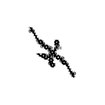 C=CC(=O)OCCCCCCOc1ccc(OC(=O)C2CCC(C(=O)Oc3cc(/C=N/Nc4nc5ccccc5s4)c(OC(=O)C4CCC(C(=O)Oc5ccc(OCCCCCCOC(=O)C=C)cc5)CC4)c4c3S/C(=C(/c3ccc5c(c3)oc3ccccc35)c3ccc5cc(CCC)ccc5n3)S4)CC2)cc1